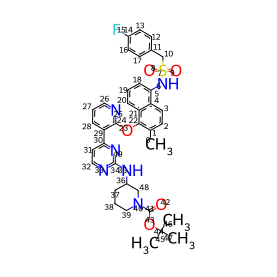 Cc1ccc2c(NS(=O)(=O)Cc3ccc(F)cc3)cccc2c1Oc1ncccc1-c1ccnc(NC2CCCN(C(=O)OC(C)(C)C)C2)n1